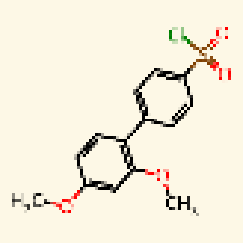 COc1ccc(-c2ccc(S(=O)(=O)Cl)cc2)c(OC)c1